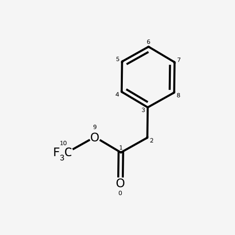 O=C(Cc1ccccc1)OC(F)(F)F